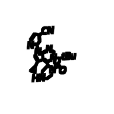 CC(C)(C)OC(=O)N1CCNCC1c1ncnc2c1c(C1CC1)cn2-c1cc(C#N)ccn1